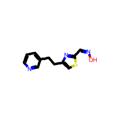 O/N=C\c1nc(CCc2cccnc2)cs1